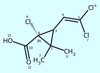 CC1(C)C(C=C(Cl)Cl)[C@]1(Cl)C(=O)O